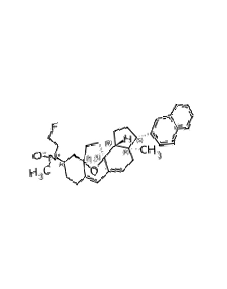 C[C@]12CC=C3C=C4CC[C@@H]([N+](C)([O-])CCF)C[C@]45CC[C@]3(O5)[C@@H]1CC[C@@H]2c1ccc2ccccc2c1